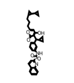 O=c1oc(CCCC2CC2C2CC2)cc(O)c1C(c1cccc(NS(=O)(=O)c2ccc3ccccc3n2)c1)C1CC1